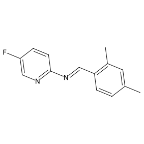 Cc1ccc(/C=N/c2ccc(F)cn2)c(C)c1